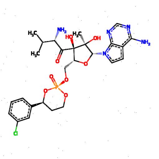 CC(C)[C@H](N)C(=O)[C@@]1(O)[C@@H](CO[P@@]2(=O)OCC[C@@H](c3cccc(Cl)c3)O2)O[C@@H](n2ccc3c(N)ncnc32)[C@]1(C)O